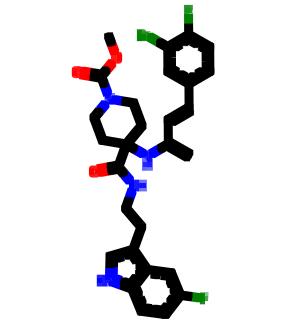 C=C(/C=C/c1ccc(F)c(Br)c1)NC1(C(=O)NCCc2c[nH]c3ccc(F)cc23)CCN(C(=O)OC)CC1